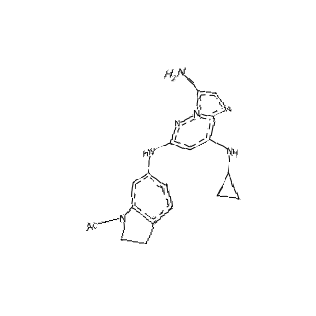 CC(=O)N1CCc2ccc(Nc3cc(NC4CC4)c4ncc(N)n4n3)cc21